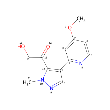 COc1ccnc(-c2cnn(C)c2C(=O)CO)c1